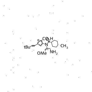 COC[C@H](CN)N(c1cc(C#CC(C)(C)C)sc1C(=O)O)C(=O)[C@H]1CC[C@H](C)CC1